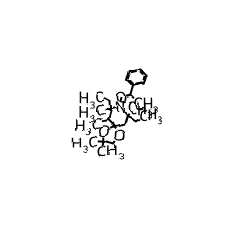 CCC1(C)CC2(OCC(C)(C)O2)C(C)C(C)(CC)N1OC(C)c1ccccc1